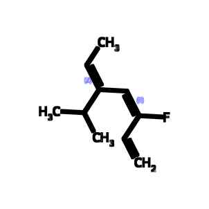 C=C/C(F)=C\C(=C/C)C(C)C